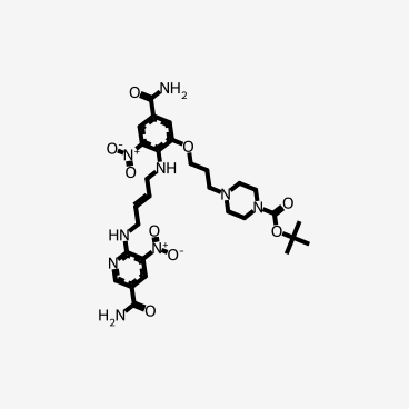 CC(C)(C)OC(=O)N1CCN(CCCOc2cc(C(N)=O)cc([N+](=O)[O-])c2NCC=CCNc2ncc(C(N)=O)cc2[N+](=O)[O-])CC1